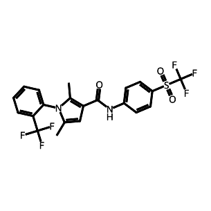 Cc1cc(C(=O)Nc2ccc(S(=O)(=O)C(F)(F)F)cc2)c(C)n1-c1ccccc1C(F)(F)F